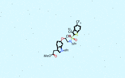 CCCN(C[C@@H](C)Oc1ccc2c(CC(=O)OC)cn(CCC)c2c1)S(=O)(=O)c1sc2ccc(C(F)(F)F)cc2c1C